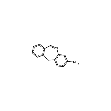 Nc1ccc2c(c1)N=Cc1ccccc1S2